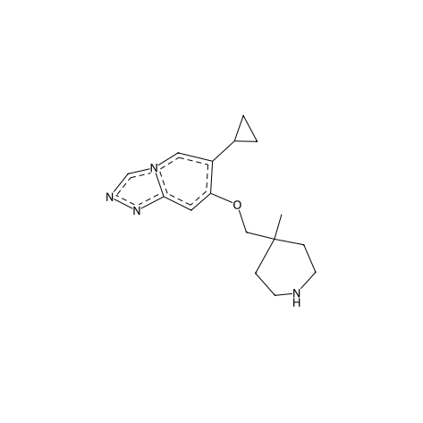 CC1(COc2cc3nncn3cc2C2CC2)CCNCC1